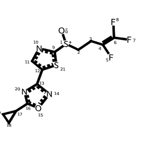 [O-][S+](CCC(F)=C(F)F)c1ncc(-c2noc(C3CC3)n2)s1